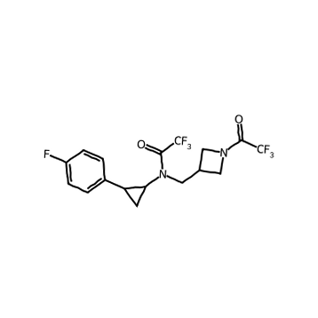 O=C(N1CC(CN(C(=O)C(F)(F)F)C2CC2c2ccc(F)cc2)C1)C(F)(F)F